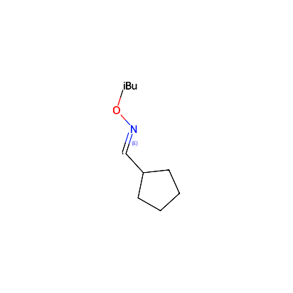 CCC(C)O/N=[C]/C1CCCC1